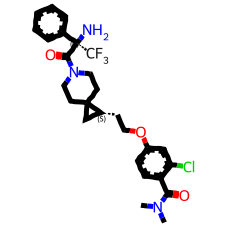 CN(C)C(=O)c1ccc(OCC[C@@H]2CC23CCN(C(=O)[C@](N)(c2ccccc2)C(F)(F)F)CC3)cc1Cl